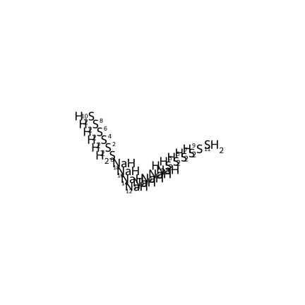 S.S.S.S.S.S.S.S.S.S.S.S.[NaH].[NaH].[NaH].[NaH].[NaH].[NaH].[NaH].[NaH]